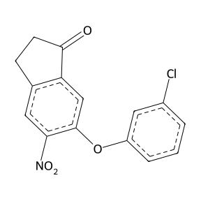 O=C1CCc2cc([N+](=O)[O-])c(Oc3cccc(Cl)c3)cc21